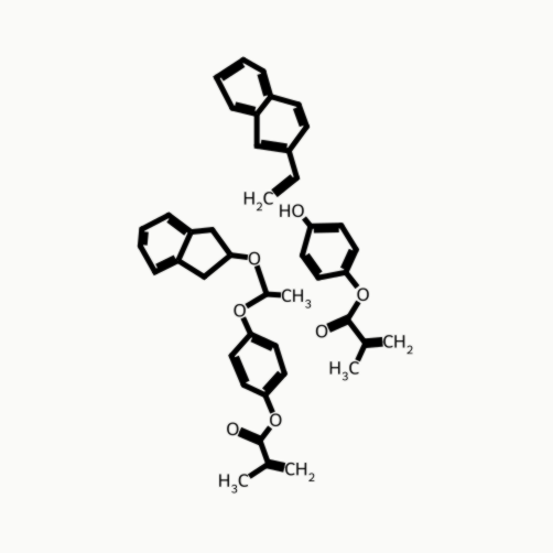 C=C(C)C(=O)Oc1ccc(O)cc1.C=C(C)C(=O)Oc1ccc(OC(C)OC2Cc3ccccc3C2)cc1.C=Cc1ccc2ccccc2c1